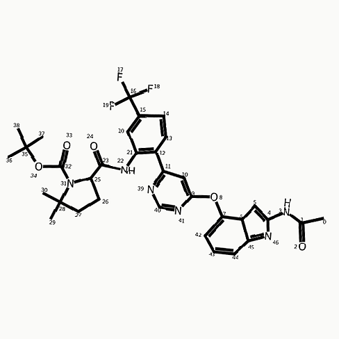 CC(=O)NC1=CC2C(Oc3cc(-c4ccc(C(F)(F)F)cc4NC(=O)C4CCC(C)(C)N4C(=O)OC(C)(C)C)ncn3)=CC=CC2=N1